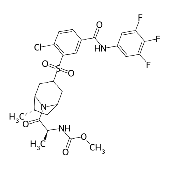 COC(=O)N[C@@H](C)C(=O)N1C2CC(S(=O)(=O)c3cc(C(=O)Nc4cc(F)c(F)c(F)c4)ccc3Cl)CC1[C@@H](C)C2